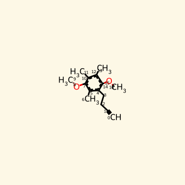 C#CCCc1c(C)c(OC)c(C)c(C)c1OC